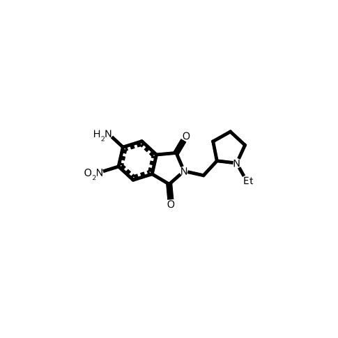 CCN1CCCC1CN1C(=O)c2cc(N)c([N+](=O)[O-])cc2C1=O